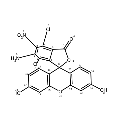 Nc1c(Cl)c2c(c(Cl)c1[N+](=O)[O-])C(=O)OC21c2ccc(O)cc2Oc2cc(O)ccc21